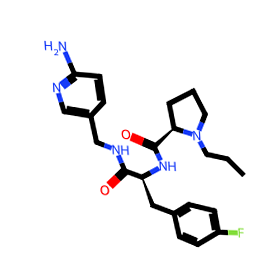 CCCN1CCC[C@@H]1C(=O)N[C@@H](Cc1ccc(F)cc1)C(=O)NCc1ccc(N)nc1